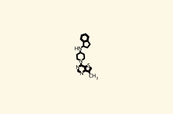 Cc1csc2c(N3CCC(NC4CCc5ccccc54)CC3)ncnc12